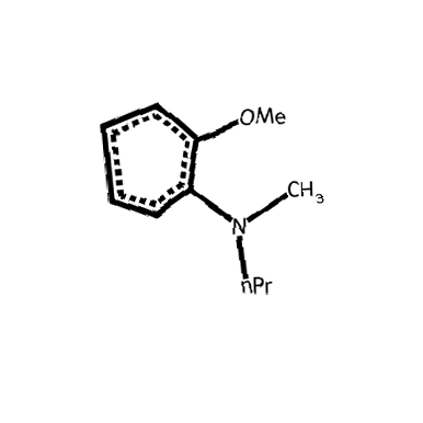 CCCN(C)c1ccccc1OC